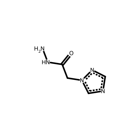 NNC(=O)Cn1cncn1